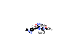 C=CC(=O)N1C[C@@H](n2nc(C#Cc3cc4ncn(C5CC5)c4cc3C)c(C(N)=O)c2NC)C[C@@H]1COC